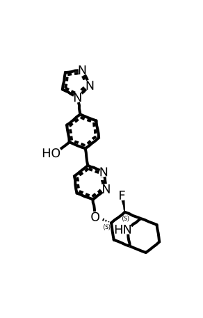 Oc1cc(-n2ccnn2)ccc1-c1ccc(O[C@H]2CC3CCCC(N3)[C@@H]2F)nn1